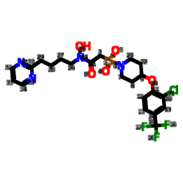 O=C(CS(=O)(=O)N1CCC(Oc2ccc(C(F)(F)F)cc2Cl)CC1)N(O)CCCCc1ncccn1